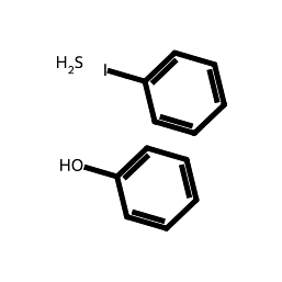 Ic1ccccc1.Oc1ccccc1.S